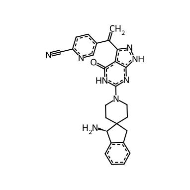 C=C(c1ccc(C#N)nc1)c1n[nH]c2nc(N3CCC4(CC3)Cc3ccccc3[C@H]4N)[nH]c(=O)c12